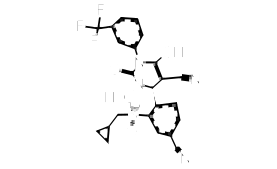 CC1=C(C#N)[C@@H](c2ccc(C#N)cc2S(=O)(=O)CC2CC2)N(C)C(=O)N1c1cccc(C(F)(F)F)c1